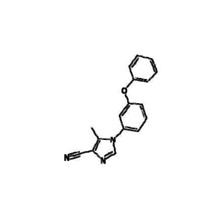 Cc1c(C#N)ncn1-c1cccc(Oc2ccccc2)c1